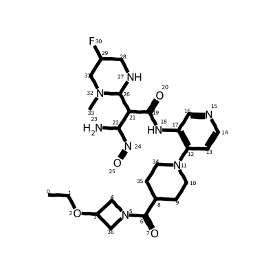 CCOC1CN(C(=O)C2CCN(c3ccncc3NC(=O)C(C(N)N=O)C3NCC(F)CN3C)CC2)C1